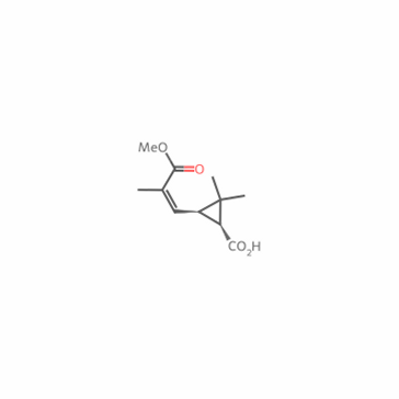 COC(=O)C(C)=C[C@@H]1[C@H](C(=O)O)C1(C)C